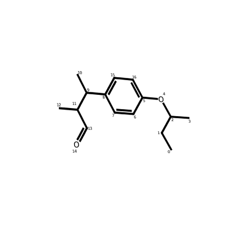 CCC(C)Oc1ccc(C(C)C(C)C=O)cc1